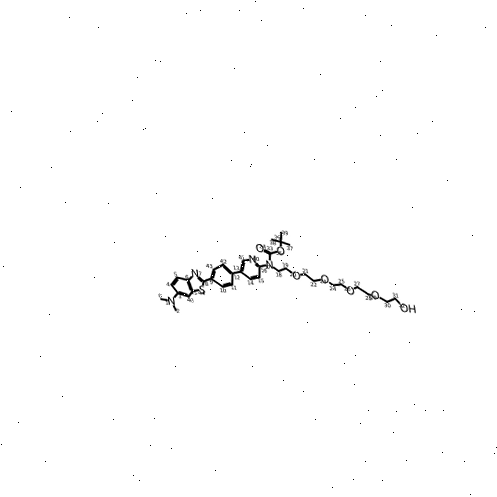 CN(C)c1ccc2nc(-c3ccc(-c4ccc(N(CCOCCOCCOCCOCCO)C(=O)OC(C)(C)C)nc4)cc3)sc2c1